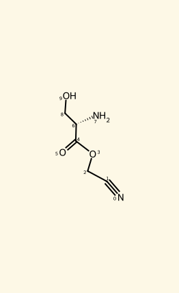 N#CCOC(=O)[C@@H](N)CO